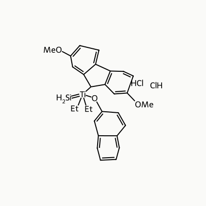 C[CH2][Ti](=[SiH2])([CH2]C)([O]c1ccc2ccccc2c1)[CH]1c2cc(OC)ccc2-c2ccc(OC)cc21.Cl.Cl